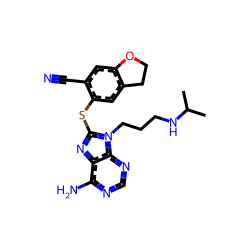 CC(C)NCCCn1c(Sc2cc3c(cc2C#N)OCC3)nc2c(N)ncnc21